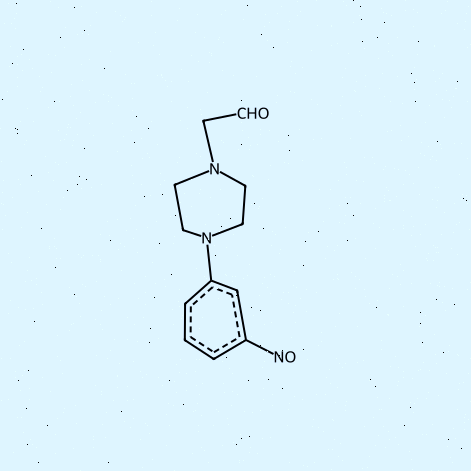 O=CCN1CCN(c2cccc(N=O)c2)CC1